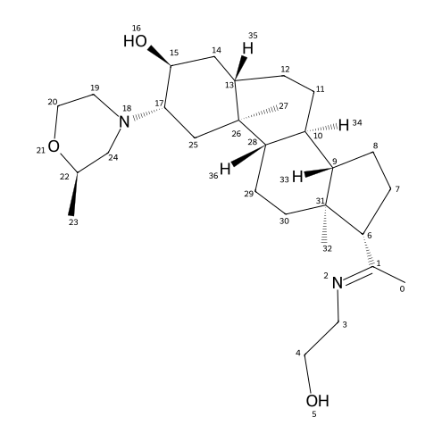 CC(=NCCO)[C@H]1CC[C@H]2[C@@H]3CC[C@H]4C[C@H](O)[C@@H](N5CCO[C@H](C)C5)C[C@]4(C)[C@H]3CC[C@]12C